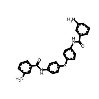 Nc1cccc(C(=O)Nc2ccc(Sc3ccc(NC(=O)c4cccc(N)c4)cc3)cc2)c1